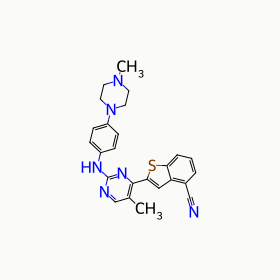 Cc1cnc(Nc2ccc(N3CCN(C)CC3)cc2)nc1-c1cc2c(C#N)cccc2s1